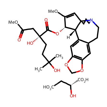 COC(=O)C[C@](O)(CCC(C)(C)O)C(=O)O[C@@H]1C(OC)=C[C@]23CCCN2CCc2cc4c(cc2[C@H]13)OCO4.O=C(O)C[C@@H](O)C(=O)O